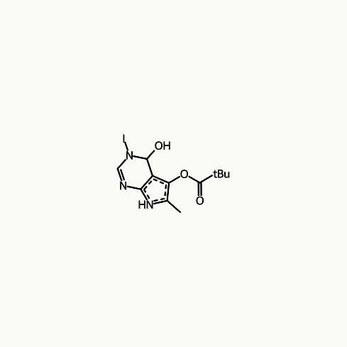 Cc1[nH]c2c(c1OC(=O)C(C)(C)C)C(O)N(I)C=N2